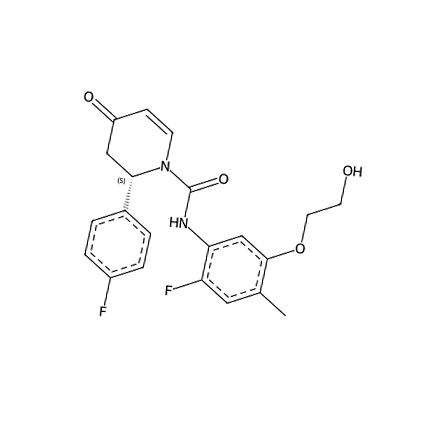 Cc1cc(F)c(NC(=O)N2C=CC(=O)C[C@H]2c2ccc(F)cc2)cc1OCCO